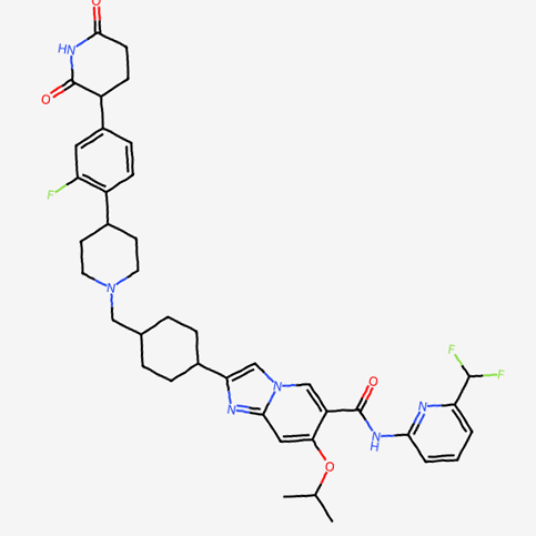 CC(C)Oc1cc2nc(C3CCC(CN4CCC(c5ccc(C6CCC(=O)NC6=O)cc5F)CC4)CC3)cn2cc1C(=O)Nc1cccc(C(F)F)n1